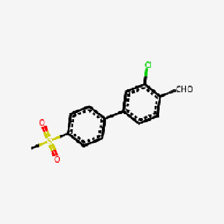 CS(=O)(=O)c1ccc(-c2ccc(C=O)c(Cl)c2)cc1